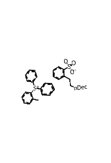 CCCCCCCCCCCCc1ccccc1S(=O)(=O)[O-].Cc1ccccc1[S+](c1ccccc1)c1ccccc1